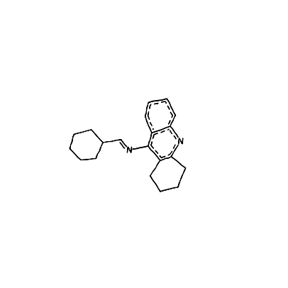 C(=N\c1c2c(nc3ccccc13)CCCC2)/C1CCCCC1